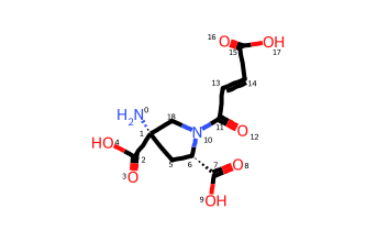 N[C@@]1(C(=O)O)C[C@@H](C(=O)O)N(C(=O)/C=C/C(=O)O)C1